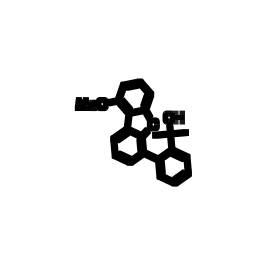 COc1cccc2oc3c(-c4ccccc4C(C)(C)O)cccc3c12